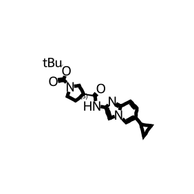 CC(C)(C)OC(=O)N1CC[C@H](C(=O)Nc2cn3cc(C4CC4)ccc3n2)C1